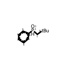 CC(C)(C)C[PH](=O)c1ccccc1